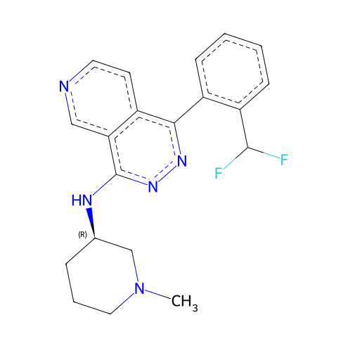 CN1CCC[C@@H](Nc2nnc(-c3ccccc3C(F)F)c3ccncc23)C1